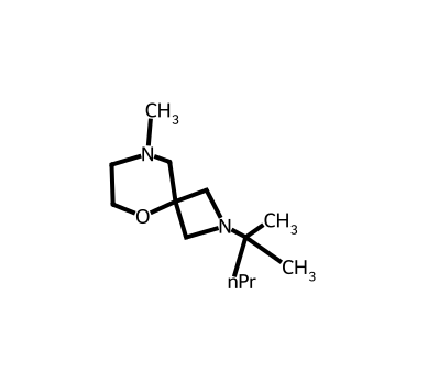 CCCC(C)(C)N1CC2(CN(C)CCO2)C1